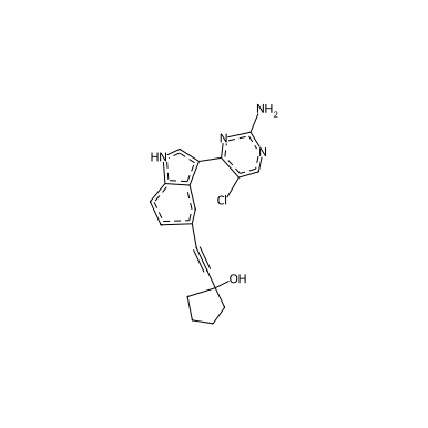 Nc1ncc(Cl)c(-c2c[nH]c3ccc(C#CC4(O)CCCC4)cc23)n1